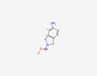 COBN1Cc2ccc(N)cc2C1